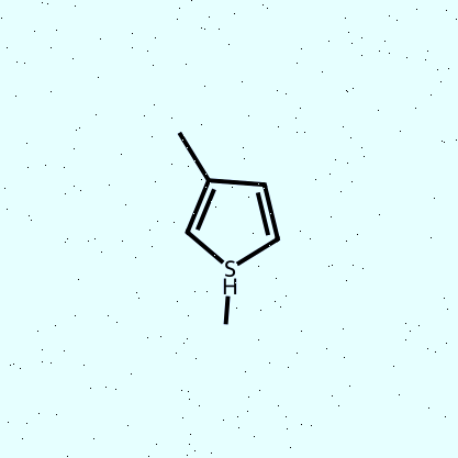 CC1=C[SH](C)C=C1